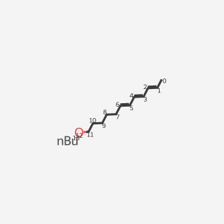 CC=CC=CC=CCCCCCOCCCC